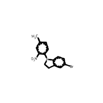 Cc1ccc(N2CCc3cc(Br)ccc32)c([N+](=O)[O-])c1